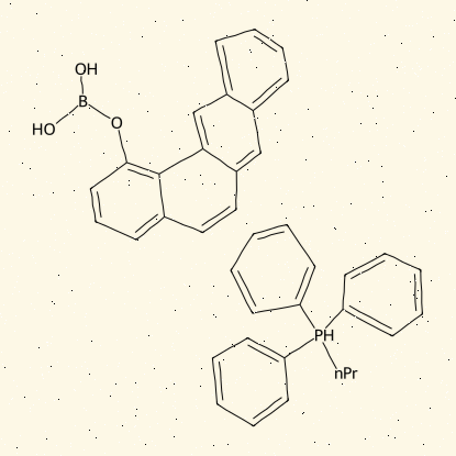 CCC[PH](c1ccccc1)(c1ccccc1)c1ccccc1.OB(O)Oc1cccc2ccc3cc4ccccc4cc3c12